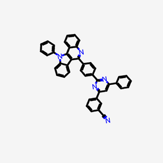 N#Cc1cccc(-c2cc(-c3ccccc3)nc(-c3ccc(-c4nc5ccccc5c5c4c4ccccc4n5-c4ccccc4)cc3)n2)c1